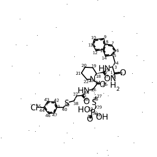 NC(=O)[C@H](Cc1ccc2ccccc2c1)NC(=O)[C@@H]1CCCCN1C(=O)[C@H](CSCP(=O)(O)O)NC(=O)CCSCc1ccc(Cl)cc1